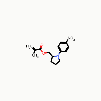 C=C(C)C(=O)OCC1CCCN1c1ccc([N+](=O)[O-])cc1